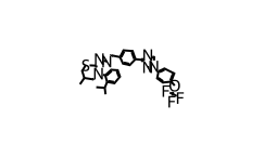 CC1CSC(=NN=Cc2ccc(-c3ncn(-c4ccc(OC(F)(F)F)cc4)n3)cc2)N(c2ccccc2C(C)C)C1